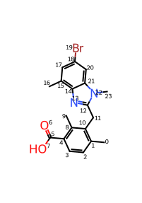 Cc1ccc(C(=O)O)c(C)c1Cc1nc2c(C)cc(Br)cc2n1C